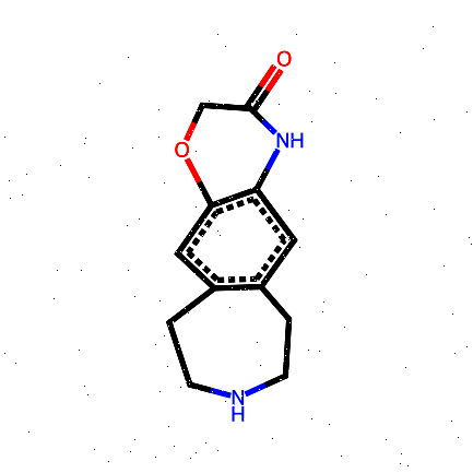 O=C1COc2cc3c(cc2N1)CCNCC3